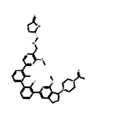 COc1nc(-c2cccc(-c3cccc(-c4cc5c(c(OC)n4)C(N4CCN(C(C)=O)CC4)CC5)c3Cl)c2Cl)cnc1CNC[C@@H]1CCC(=O)N1